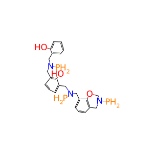 Oc1ccccc1CN(P)Cc1cccc(CN(P)Cc2cccc3c2OCN(P)C3)c1O